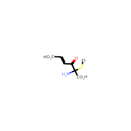 CCSC(N)(C(=O)O)C(=O)C=CC(=O)O